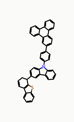 C1=Cc2c(sc3ccccc23)C(c2ccc3c(c2)c2ccccc2n3-c2ccc(-c3ccc4c5ccccc5c5ccccc5c4c3)cc2)C1